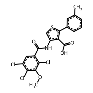 COc1c(Cl)c(Cl)cc(C(=O)Nc2csc(-c3cccc(C)c3)c2C(=O)O)c1Cl